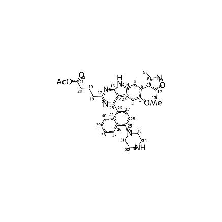 COc1cc2c(cc1-c1c(C)noc1C)[nH]c1nc(CCCC(=O)OC(C)=O)nc(-c3ccc(N4CCNCC4)c4ccccc34)c12